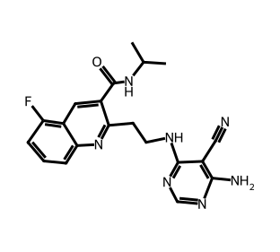 CC(C)NC(=O)c1cc2c(F)cccc2nc1CCNc1ncnc(N)c1C#N